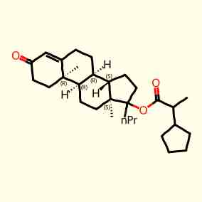 CCCC1(OC(=O)C(C)C2CCCC2)CC[C@H]2[C@@H]3CCC4=CC(=O)CC[C@]4(C)[C@@H]3CC[C@@]21C